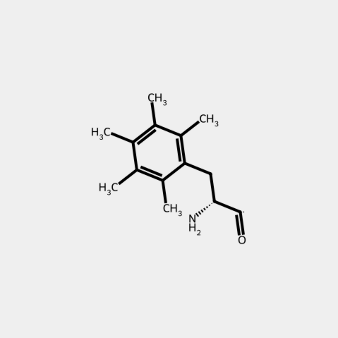 Cc1c(C)c(C)c(C[C@@H](N)[C]=O)c(C)c1C